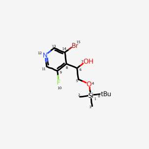 CC(C)(C)[Si](C)(C)OCC(O)c1c(F)cncc1Br